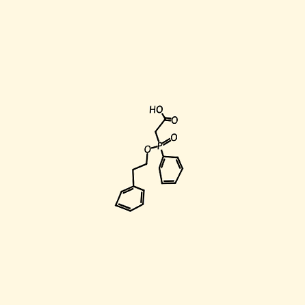 O=C(O)CP(=O)(OCCc1ccccc1)c1ccccc1